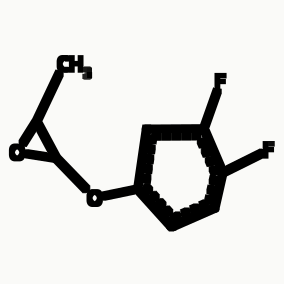 CC1OC1Oc1ccc(F)c(F)c1